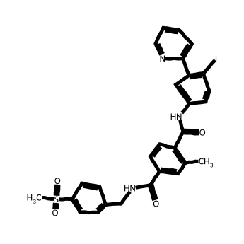 Cc1cc(C(=O)NCc2ccc(S(C)(=O)=O)cc2)ccc1C(=O)Nc1ccc(I)c(-c2ccccn2)c1